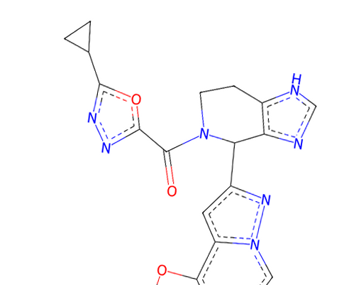 O=C(c1nnc(C2CC2)o1)N1CCc2[nH]cnc2C1c1cc2c(OC(F)(F)F)cccn2n1